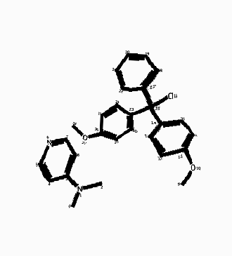 CN(C)c1ccncc1.COc1ccc(C(Cl)(c2ccccc2)c2ccc(OC)cc2)cc1